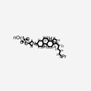 CCCCCCCCS(=O)(=O)OC1CN(C2CC[C@@]3(C)C(CC[C@H]4[C@@H]5CC[C@H]([C@H](C)CCCC(C)C)[C@@]5(C)CC[C@@H]43)C2)C1